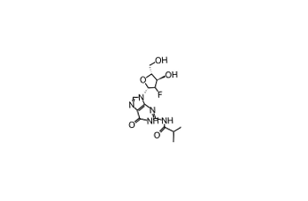 CC(C)C(=O)Nc1nc2c(ncn2[C@@H]2O[C@H](CO)[C@@H](O)C2F)c(=O)[nH]1